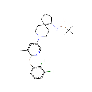 Cc1cc(N2CCC3(CCC[C@H]3N[S@+]([O-])C(C)(C)C)CC2)cnc1Sc1cccc(Cl)c1Cl